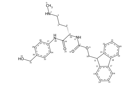 CNCCC[C@H](NC(=O)OCC1c2ccccc2-c2ccccc21)C(=O)Nc1ccc(CO)cc1